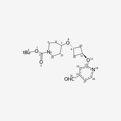 CC(C)(C)OC(=O)N1CCC(O[C@H]2C[C@H](Oc3cc(C=O)ccn3)C2)CC1